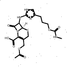 CNC(=O)OCCCc1c[nH]c(NC2C(=O)N3C(C(=O)O)=C(COC(C)=O)CS[C@H]23)n1